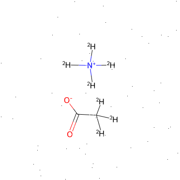 [2H]C([2H])([2H])C(=O)[O-].[2H][N+]([2H])([2H])[2H]